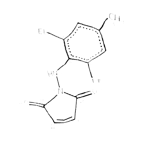 CCc1cc(C)cc(CC)c1NN1C(=O)C=CC1=O